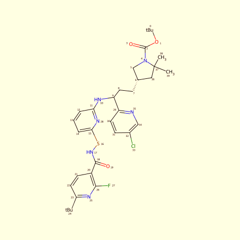 CC(C)(C)OC(=O)N1C[C@@H](CCC(Nc2cccc(SNC(=O)c3ccc(C(C)(C)C)nc3F)n2)c2ccc(Cl)cn2)CC1(C)C